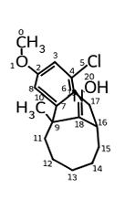 COc1cc(Cl)c2c(c1)C1(C)CCCCCC(C2)/C1=N\O